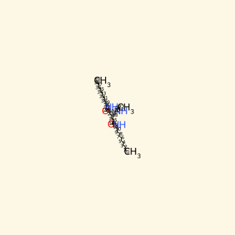 CCCCCCCCCCCCNC(=O)CCC(CCNCC)CCC(=O)NCCCCCCCCCCCC